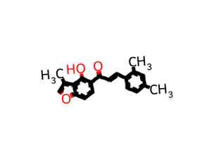 Cc1ccc(/C=C/C(=O)c2ccc3occ(C)c3c2O)c(C)c1